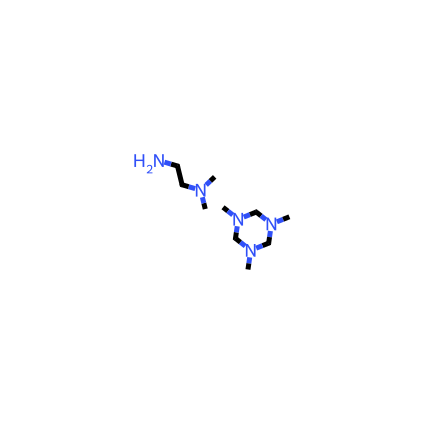 CN(C)CCN.CN1CN(C)CN(C)C1